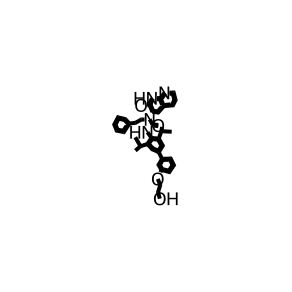 CC(C)c1cc(-c2cccc(OCCO)c2)cc(C(C)C)c1NC(=O)N(CCc1ccccc1)c1cc2cccnc2[nH]c1=O